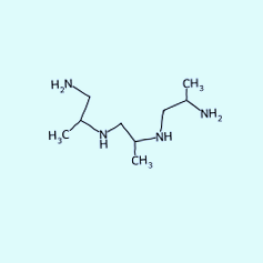 CC(N)CNC(C)CNC(C)CN